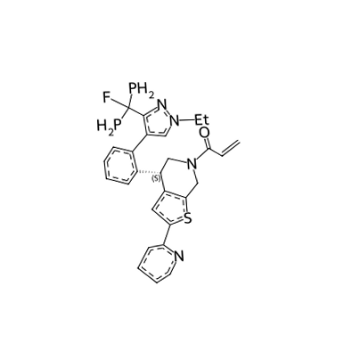 C=CC(=O)N1Cc2sc(-c3ccccn3)cc2[C@H](c2ccccc2-c2cn(CC)nc2C(F)(P)P)C1